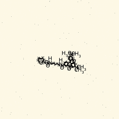 CN(C)c1ccc2c(-c3ccc(C(=O)NCCCCCNC(=O)OC[C@@H]4CC/C=C/CCO4)cc3C(=O)[O-])c3ccc(=[N+](C)C)cc-3oc2c1